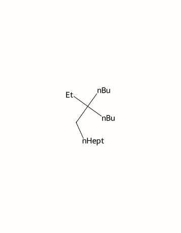 CCCCCCCCC(CC)(CCCC)CCCC